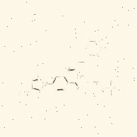 C[Si](C)(C)CCOCn1c(CSC2CCOCC2)nc2cc(-n3cc(N)cn3)ccc2c1=O